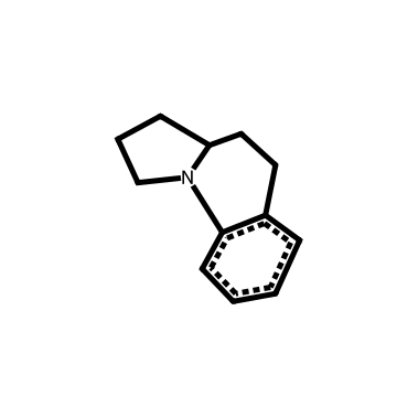 c1ccc2c(c1)CCC1CCCN21